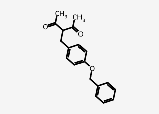 CC(=O)C(Cc1ccc(OCc2ccccc2)cc1)C(C)=O